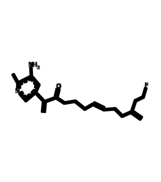 C=C(CCF)CC/C=C/CCCC(=O)C(=C)c1cnc(C)c(N)c1